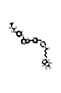 O=C(Nc1ccc(Oc2ccnc3cc(-c4ccc(CN5CCN(C(=O)CCCC[C@H]6SC[C@H]7NC(=O)N[C@H]76)CC5)cn4)sc23)c(F)c1)NC1CC1